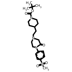 CC(C)(C)OC(=O)N1CCC(CCN2CCN(c3ccc(S(C)(=O)=O)cc3)C(=O)C2)CC1